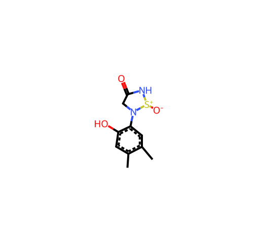 Cc1cc(O)c(N2CC(=O)N[S+]2[O-])cc1C